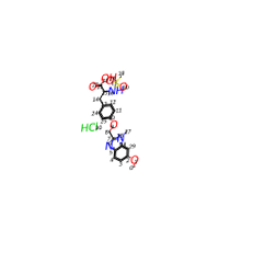 COc1ccc2nc(COc3ccc(CC(NS(C)(=O)=O)C(=O)O)cc3)n(C)c2c1.Cl